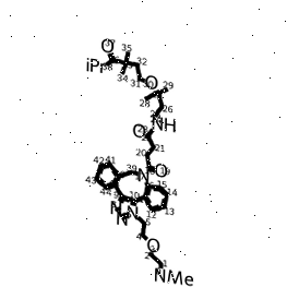 CNCCOCCn1nnc2c1-c1ccccc1N(C(=O)CCC(=O)NCCC(C)(C)OCCC(C)(C)C(=O)C(C)C)Cc1ccccc1-2